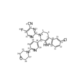 N#Cc1nc(N2CCc3c([nH]c4ccc(Cl)cc34)C2c2ccc(N3CCOCC3)nc2)ncc1F